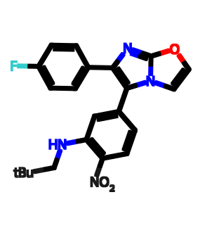 CC(C)(C)CNc1cc(-c2c(-c3ccc(F)cc3)nc3occn23)ccc1[N+](=O)[O-]